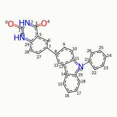 O=c1[nH]c(=O)c2cc(-c3ccc4c(c3)c3ccccc3n4-c3ccccc3)ccc2[nH]1